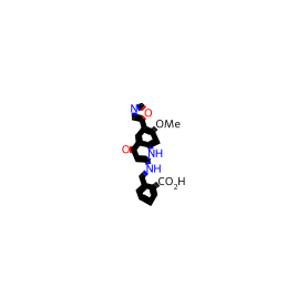 COc1cc2[nH]c(NCc3ccccc3C(=O)O)cc(=O)c2cc1-c1cnco1